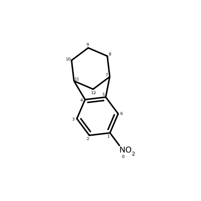 O=[N+]([O-])c1ccc2c(c1)C1CCCC2C1